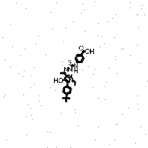 CCn1nc(/C(C)=N\NC(=S)Nc2ccc(C(=O)O)cc2)c(O)c1-c1ccc(C(C)(C)C)cc1